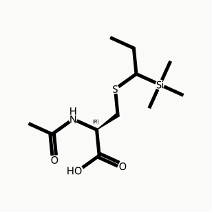 CCC(SC[C@H](NC(C)=O)C(=O)O)[Si](C)(C)C